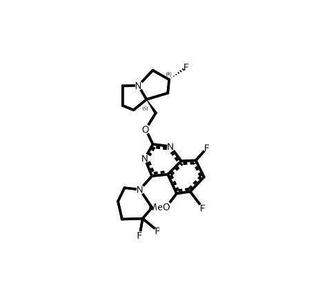 COc1c(F)cc(F)c2nc(OC[C@@]34CCCN3C[C@H](F)C4)nc(N3CCCC(F)(F)C3)c12